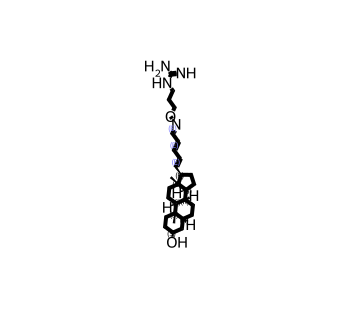 C[C@]12CC[C@H](O)C[C@H]1CC[C@@H]1[C@@H]2CC[C@]2(C)[C@@H](/C=C/C=C/C=N/OCCCNC(=N)N)CC[C@@H]12